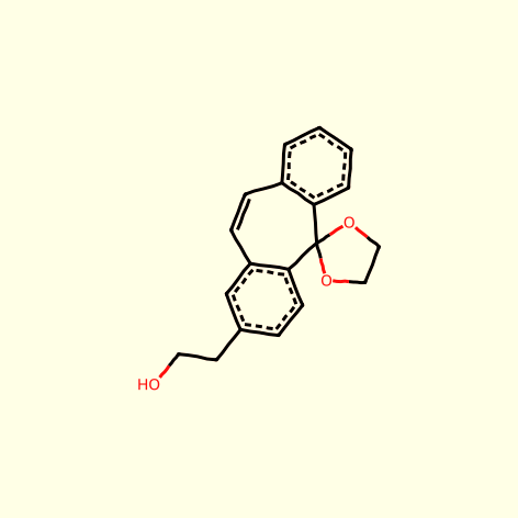 OCCc1ccc2c(c1)C=Cc1ccccc1C21OCCO1